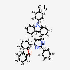 Cc1ccc(-n2c3ccccc3c3c(-c4cc(-c5cccc6c5oc5ccccc56)nc(-c5ccccc5)n4)cccc32)cc1